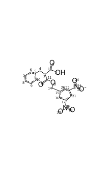 O=C(O)C(Cc1ccccc1)C(=O)OCc1cc([N+](=O)[O-])cc([N+](=O)[O-])c1